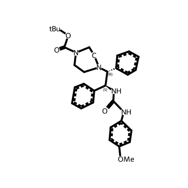 COc1ccc(NC(=O)N[C@@H](c2ccccc2)[C@@H](c2ccccc2)N2CCN(C(=O)OC(C)(C)C)CC2)cc1